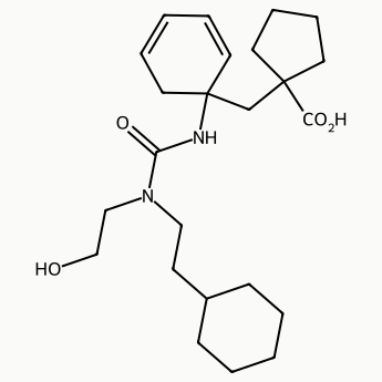 O=C(NC1(CC2(C(=O)O)CCCC2)C=CC=CC1)N(CCO)CCC1CCCCC1